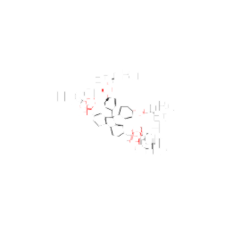 CCCCC(CC)COc1ccc(C2(c3ccc(OCC(CC)CCCC)cc3)c3cc(B4OCC(C)(C)O4)ccc3-c3ccc(B4OC(C)(C)C(C)(C)O4)cc32)cc1